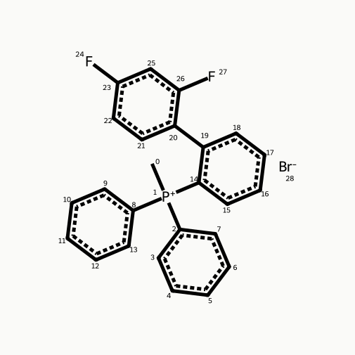 C[P+](c1ccccc1)(c1ccccc1)c1ccccc1-c1ccc(F)cc1F.[Br-]